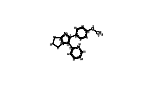 COc1ccc(-c2nc3n(c2-c2ccccn2)CCC3)cc1